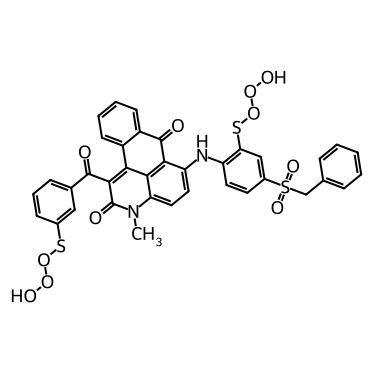 Cn1c(=O)c(C(=O)c2cccc(SOOO)c2)c2c3c(c(Nc4ccc(S(=O)(=O)Cc5ccccc5)cc4SOOO)ccc31)C(=O)c1ccccc1-2